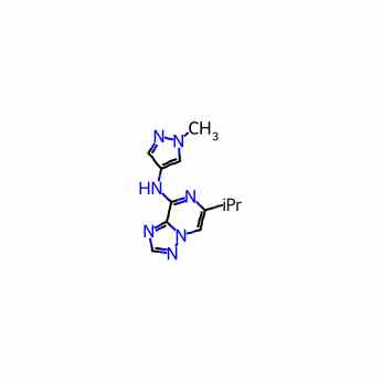 CC(C)c1cn2ncnc2c(Nc2cnn(C)c2)n1